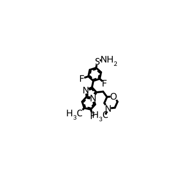 Cc1cc2nc(-c3c(F)cc(SN)cc3F)c(CC3CN(C)CCO3)n2cc1F